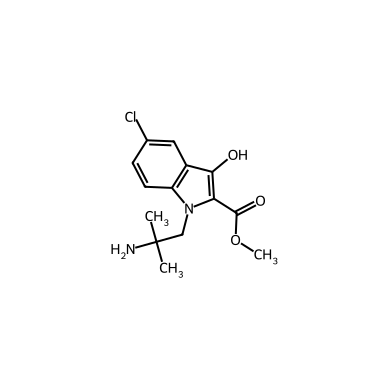 COC(=O)c1c(O)c2cc(Cl)ccc2n1CC(C)(C)N